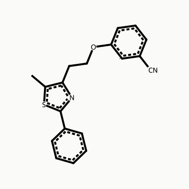 Cc1sc(-c2ccccc2)nc1CCOc1[c]c(C#N)ccc1